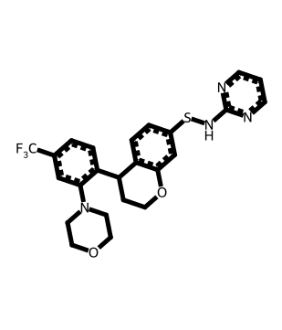 FC(F)(F)c1ccc(C2CCOc3cc(SNc4ncccn4)ccc32)c(N2CCOCC2)c1